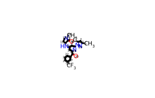 Cc1cc(C)n(-c2cc(NC3CCN(C)C3=O)cc(C(=O)c3cccc(C(F)(F)F)c3)n2)n1